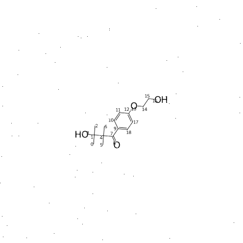 CC(C)(O)C(C)(C)C(=O)c1ccc(OCCO)cc1